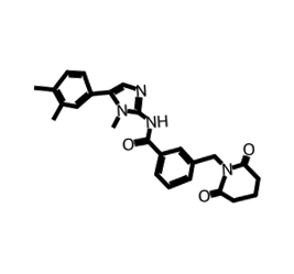 Cc1ccc(-c2cnc(NC(=O)c3cccc(CN4C(=O)CCCC4=O)c3)n2C)cc1C